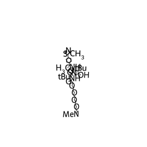 CNCCOCCOCCOCCOCC(=O)N[C@H](C(=O)N1C[C@H](O)C[C@@]1(C(=O)N[C@@H](C)c1ccc(-c2scnc2C)cc1)C(C)(C)C)C(C)(C)C